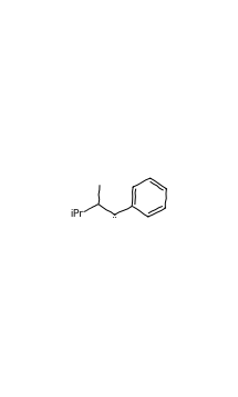 CC(C)C(C)[C]c1ccccc1